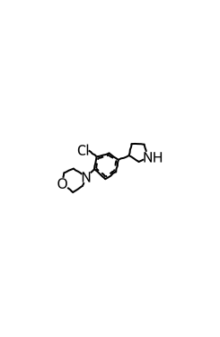 Clc1cc(C2CCNC2)ccc1N1CCOCC1